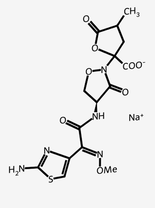 CON=C(C(=O)N[C@H]1CON(C2(C(=O)[O-])CC(C)C(=O)O2)C1=O)c1csc(N)n1.[Na+]